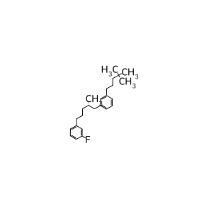 C[C@@H](CCCc1cccc(F)c1)Cc1cccc(CCCC(C)(C)C)c1